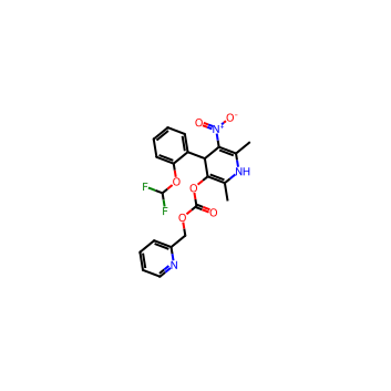 CC1=C(OC(=O)OCc2ccccn2)C(c2ccccc2OC(F)F)C([N+](=O)[O-])=C(C)N1